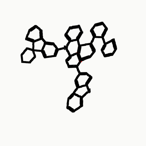 c1ccc(-c2ccccc2-c2ccccc2-c2ccccc2N(c2ccc(-c3ccc4sc5ccccc5c4c3)cc2)c2ccc3c(c2)-c2ccccc2C32CCCCC2)cc1